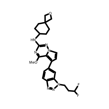 COc1nc(NC2CCC3(CC2)COC3)nn2ccc(-c3ccc4nnn(CCC(F)F)c4c3)c12